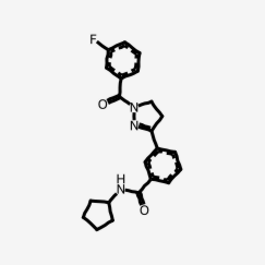 O=C(NC1CCCC1)c1cccc(C2=NN(C(=O)c3cccc(F)c3)CC2)c1